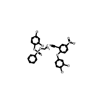 CCOP(=S)(Oc1ccc(Cl)cc1Cl)c1ccccc1.N#Cc1cc([N+](=O)[O-])ccc1Oc1ccc(Cl)c(Cl)c1